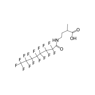 CC(CCNC(=O)C(F)(F)C(F)(F)C(F)(F)C(F)(F)C(F)(F)C(F)(F)C(F)(F)F)C(=O)O